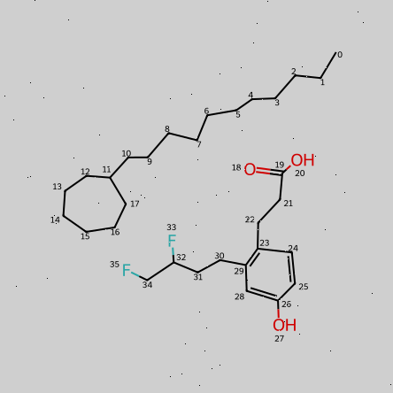 CCCCCCCCCCCC1CCCCCC1.O=C(O)CCc1ccc(O)cc1CCC(F)CF